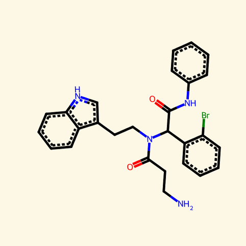 NCCC(=O)N(CCc1c[nH]c2ccccc12)C(C(=O)Nc1ccccc1)c1ccccc1Br